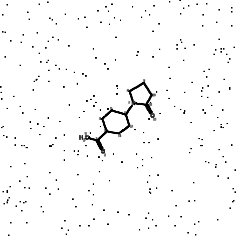 CC(=O)C1CCC(N2CCCC2=O)CC1